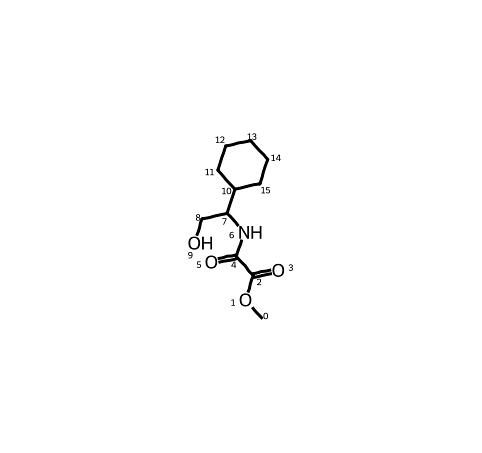 COC(=O)C(=O)NC(CO)C1CCCCC1